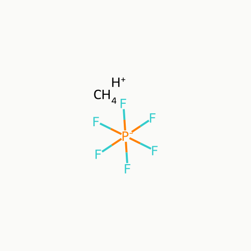 C.F[P-](F)(F)(F)(F)F.[H+]